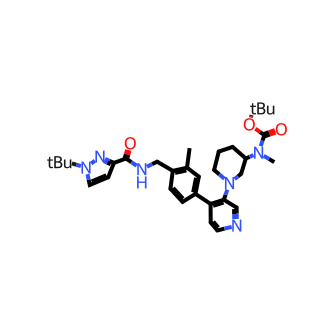 Cc1cc(-c2ccncc2N2CCCC(N(C)C(=O)OC(C)(C)C)C2)ccc1CNC(=O)c1ccn(C(C)(C)C)n1